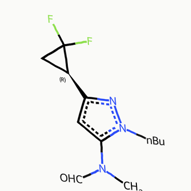 CCCCn1nc([C@H]2CC2(F)F)cc1N(C)C=O